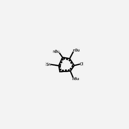 CCCCc1c[c]([Sn])c(CCCC)c(CCCC)c1Cl